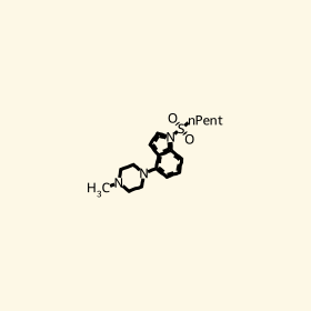 CCCCCS(=O)(=O)n1ccc2c(N3CCN(C)CC3)cccc21